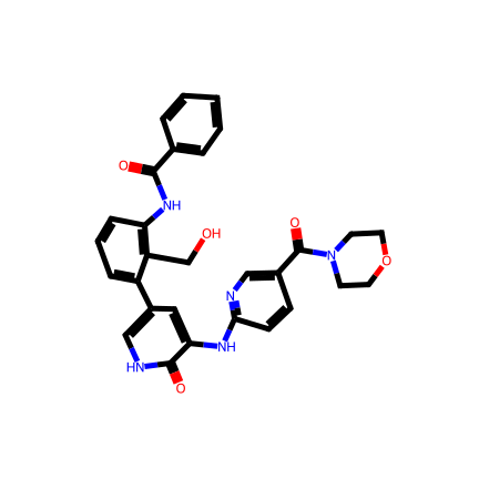 O=C(Nc1cccc(-c2c[nH]c(=O)c(Nc3ccc(C(=O)N4CCOCC4)cn3)c2)c1CO)c1ccccc1